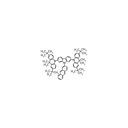 CC(C)(C)c1ccc2c(c1)C(C)(C)c1cc(C(C)(C)C)ccc1N2c1ccc2c3ccc(N4c5ccc(C(C)(C)C)cc5C(C)(C)c5cc(C(C)(C)C)ccc54)cc3n(-c3ccc4cc5ccccc5cc4c3)c2c1